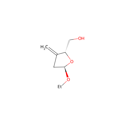 C=C1C[C@H](OCC)O[C@H]1CO